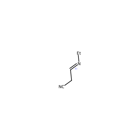 CC/N=C/CC#N